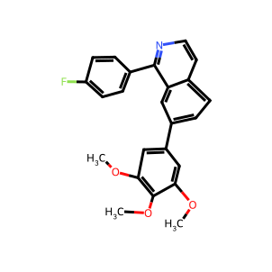 COc1cc(-c2ccc3ccnc(-c4ccc(F)cc4)c3c2)cc(OC)c1OC